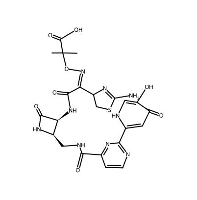 CC(C)(O/N=C(\C(=O)N[C@@H]1C(=O)N[C@@H]1CNC(=O)c1ccnc(-c2cc(=O)c(O)c[nH]2)n1)C1CSC(N)=N1)C(=O)O